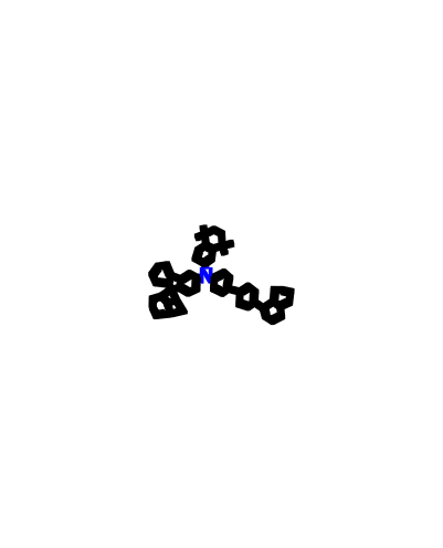 CC1(C)CCC(C)(C)c2cc(N(c3ccc(-c4ccc(-c5cccc6ccccc56)cc4)cc3)c3ccc4c(c3)-c3ccccc3C43C4CC5CC6CC3C64C5)ccc21